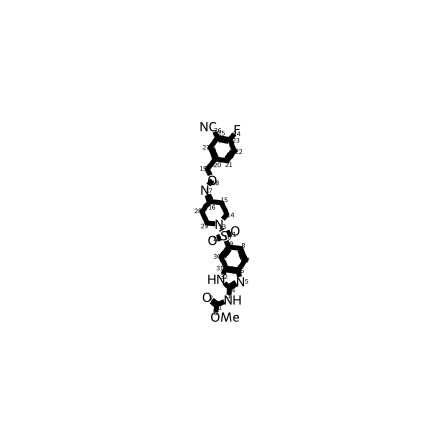 COC(=O)Nc1nc2ccc(S(=O)(=O)N3CCC(=NOCc4ccc(F)c(C#N)c4)CC3)cc2[nH]1